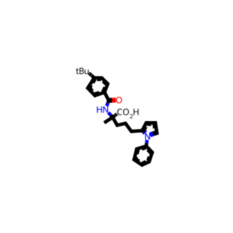 CC(CCCc1cccn1-c1ccccc1)(NC(=O)c1ccc(C(C)(C)C)cc1)C(=O)O